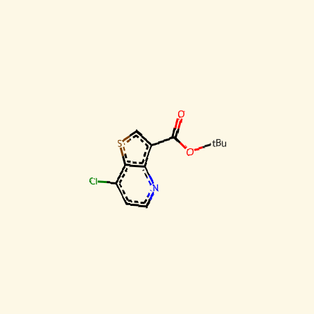 CC(C)(C)OC(=O)c1csc2c(Cl)ccnc12